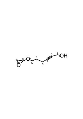 OCC#CCCCOC1CO1